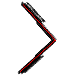 [Cl-].[Cl-].[Cl-].[Cl-].[Cl-].[Cl-].[Cl-].[Cl-].[Cl-].[Cl-].[Cl-].[Cl-].[Cl-].[Cl-].[Cl-].[Cl-].[Cl-].[Cl-].[Cl-].[Cl-].[Cl-].[Cl-].[Cl-].[Cl-].[Cl-].[Cl-].[Cl-].[Cl-].[Cl-].[Cl-].[Cl-].[Cl-].[Cl-].[Cl-].[Cl-].[Cl-].[Cl-].[Cl-].[Cl-].[Cl-].[Cl-].[Cl-].[Cl-].[Cl-].[Cl-].[Cl-].[Cl-].[Cl-].[Cl-].[Cl-].[Cl-].[Cl-].[Cl-].[Cl-].[Cl-].[Cl-].[Cl-].[Cl-].[Cl-].[Cl-].[Cl-].[Cl-].[Cl-].[Cl-].[Fe+3].[Fe+3].[Fe+3].[Fe+3].[Fe+3].[Fe+3].[Fe+3].[Fe+3].[Fe+3].[Fe+3].[Fe+3].[Fe+3].[Fe+3].[Fe+3].[Fe+3].[Fe+3].[Fe+3].[Fe+3].[Fe+3].[Fe+3].[Fe+3].[Fe+3].[Fe+3].[Fe+3].[Fe+3].[Fe+3].[Fe+3].[Fe+3].[Fe+3].[Fe+3].[Fe+3].[Fe+3].[Fe+3].[Fe+3].[Fe+3].[Fe+3].[Fe+3].[Fe+3].[Fe+3].[Fe+3].[Fe+3].[Fe+3].[Fe+3].[Fe+3].[Fe+3].[Fe+3].[Fe+3].[Fe+3].[Fe+3].[Fe+3].[Fe+3].[Fe+3].[Fe+3].[Fe+3].[Fe+3].[Fe+3].[Fe+3].[Fe+3].[Fe+3].[Fe+3].[Fe+3].[Fe+3].[Fe+3].[Fe+3].[Fe+3].[Fe+3].[Fe+3].[Fe+3]